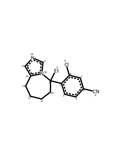 CCC1(c2ccc(C#N)cc2Cl)CCCCc2cncn21